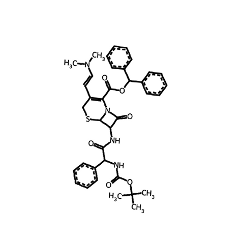 CN(C)C=CC1=C(C(=O)OC(c2ccccc2)c2ccccc2)N2C(=O)C(NC(=O)C(NC(=O)OC(C)(C)C)c3ccccc3)C2SC1